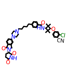 CC1(C)[C@H](NC(=O)c2ccc(CCCCCN3CCN(c4ccc5c(c4)CN([C@H]4CCC(=O)NC4=O)C5=O)CC3)cc2)C(C)(C)[C@H]1Oc1ccc(C#N)c(Cl)c1